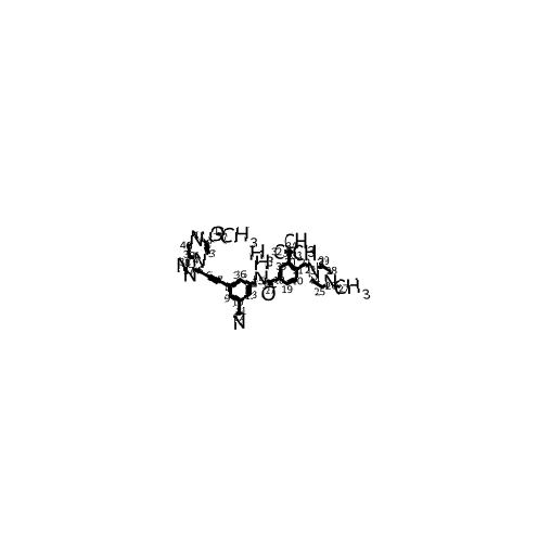 COc1cn2c(C#Cc3cc(C#N)cc(NC(=O)c4ccc(CN5CCN(C)CC5)c(C(C)(C)C)c4)c3)nnc2cn1